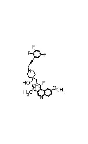 COc1ccc2ncc(N(C)C)c([C@@H](F)CCC3(CO)CCN(CC#Cc4cc(F)cc(F)c4F)CC3)c2c1